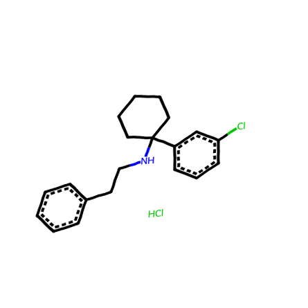 Cl.Clc1cccc(C2(NCCc3ccccc3)CCCCC2)c1